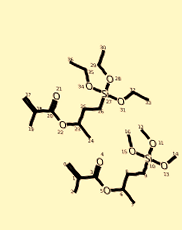 C=C(C)C(=O)OC(C)CC[Si](OC)(OC)OC.C=C(C)C(=O)OC(C)CC[Si](OCC)(OCC)OCC